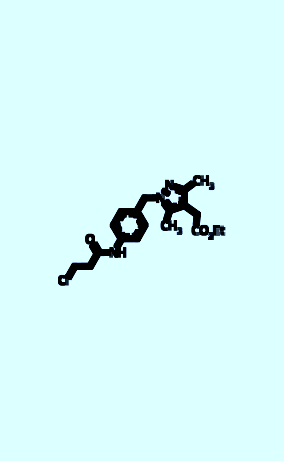 CCOC(=O)Cc1c(C)nn(Cc2ccc(NC(=O)CCCl)cc2)c1C